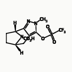 Cn1nc2c(c1OS(=O)(=O)C(F)(F)F)C[C@@H]1CC[C@H]2N1C(=O)O